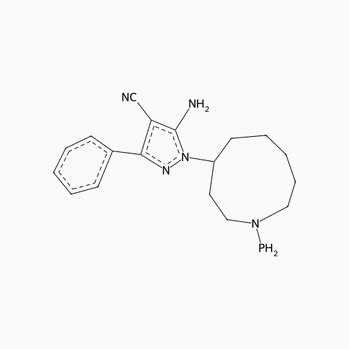 N#Cc1c(-c2ccccc2)nn(C2CCCCCN(P)CC2)c1N